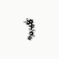 Cc1c(C(=O)Nc2cnc(-n3nccn3)c(Cl)c2)noc1-c1cccc2c(=O)[nH]ccc12